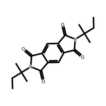 CCC(C)(C)n1c(=O)c2cc3c(=O)n(C(C)(C)CC)c(=O)c3cc2c1=O